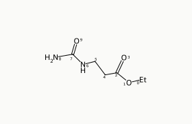 CCOC(=O)CCNC(N)=O